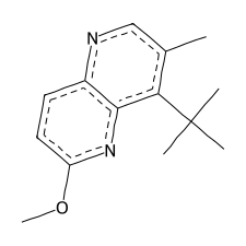 COc1ccc2ncc(C)c(C(C)(C)C)c2n1